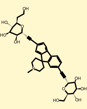 CN1CCC2(CC1)c1cc(C#C[C@H]3O[C@H](CO)[C@@H](O)[C@H](O)[C@@H]3O)ccc1-c1ccc(C#C[C@H]3O[C@H](CCO)[C@@H](O)[C@H](O)[C@@H]3O)cc12